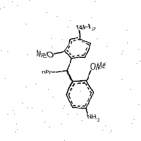 CCCC(c1ccc(N)cc1OC)c1ccc(N)cc1OC